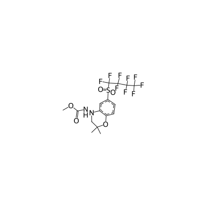 COC(=O)NN1CC(C)(C)Oc2ccc(S(=O)(=O)C(F)(F)C(F)(F)C(F)(F)C(F)(F)F)cc21